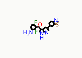 Nc1ccc(F)c(C(=O)c2c[nH]c3ncc(-c4ccc5ncsc5c4)cc23)c1F